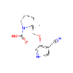 C[C@@]1(COc2cnccc2C#N)CCCN1C(=O)O